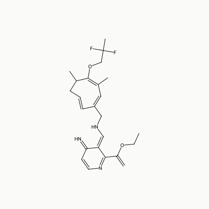 C=C(OCC)C1=NC=CC(=N)/C1=C\NCC1=C/C(C)=C(/OCC(C)(F)F)C(C)C\C=C\1